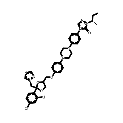 CC[C@H](C)n1ncn(-c2ccc(N3CCN(c4ccc(OCC5COC(Cn6cncn6)(c6ccc(Cl)cc6Cl)O5)cc4)CC3)cc2)c1=O